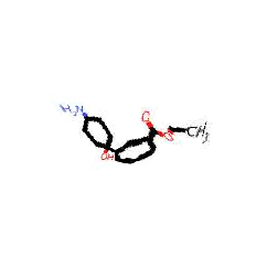 CCOC(=O)c1cccc(C2(O)CCC(N)CC2)c1